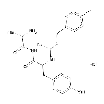 CCCC[C@H](N)C(=O)NC(=O)[C@H](Cc1ccc(O)cc1)N[C@H](/C=C/c1ccc(C)cc1)[C@@H](C)CC.Cl